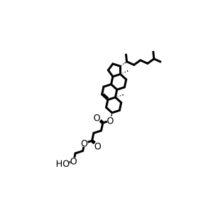 CC(C)CCCC(C)[C@H]1CCC2C3CC=C4C[C@@H](OC(=O)CCC(=O)OCCOO)CC[C@]4(C)C3CC[C@@]21C